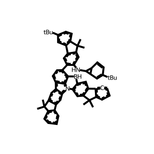 CC(C)(C)C1=CC2C(C=C1)C2Nc1cc2c(cc1-c1ccc3c4cc5c(cc4n4c3c1Bc1cc3c(cc1-4)C(C)(C)c1ccccc1-3)-c1ccccc1C5(C)C)-c1cc(C(C)(C)C)ccc1C2(C)C